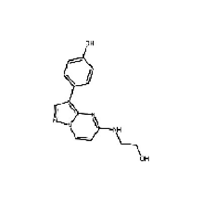 OCCNc1ccn2ncc(-c3ccc(O)cc3)c2n1